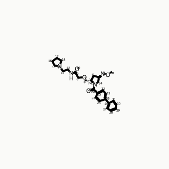 CON=C1C[C@@H](COCC(=O)NCCN2CCCC2)N(C(=O)c2ccc(-c3ccccc3)cc2)C1